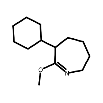 COC1=NCCCCC1C1CCCCC1